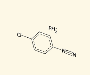 N#[N+]c1ccc(Cl)cc1.[PH2-]